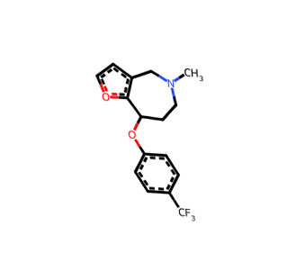 CN1CCC(Oc2ccc(C(F)(F)F)cc2)c2occc2C1